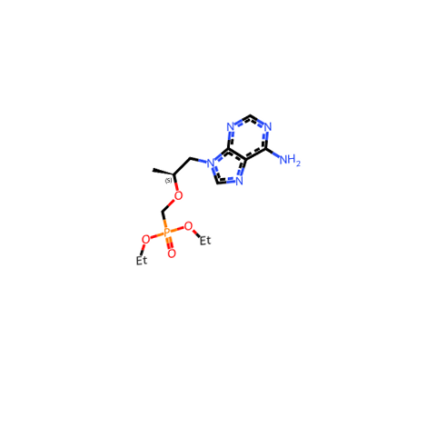 CCOP(=O)(CO[C@@H](C)Cn1cnc2c(N)ncnc21)OCC